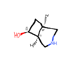 O[C@H]1C[C@H]2CNC[C@H]21